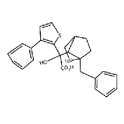 O=C(O)C(O)(c1sccc1-c1ccccc1)C1C2CCC1(Cc1ccccc1)NC2